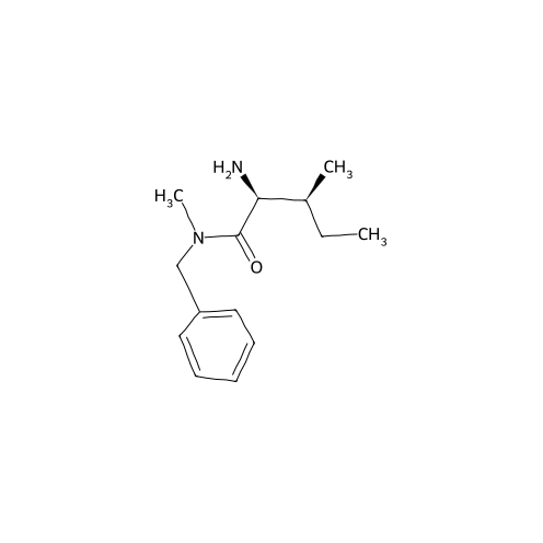 CC[C@H](C)[C@H](N)C(=O)N(C)Cc1ccccc1